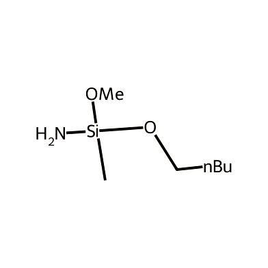 CCCCCO[Si](C)(N)OC